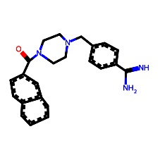 N=C(N)c1ccc(CN2CCN(C(=O)c3ccc4ccccc4c3)CC2)cc1